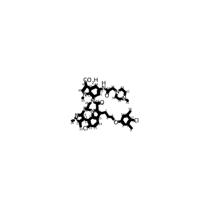 Cc1cc(OCCCc2c3n(c4c(-c5c(C)nn(C)c5C)c(Cl)ccc24)C(C)CN(c2cc(NC(=O)CN4CCN(C)CC4)cc4c(C(=O)O)cn(C)c24)C3=O)cc(C)c1Cl